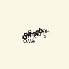 COc1ccc2c(c1)C(NC(=O)CC[C@H](Cc1ccc(O)cc1)N(C)C)CC2